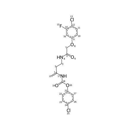 C=C(CCNC(=O)COc1ccc(Cl)c(F)c1)NC(=O)Oc1ccc(Cl)cc1